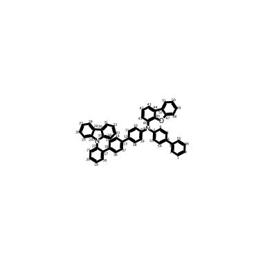 c1ccc(-c2ccc(N(c3ccc(-c4ccc(-c5ccccc5-n5c6ccccc6c6ccccc65)cc4)cc3)c3cccc4c3oc3ccccc34)cc2)cc1